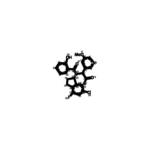 COc1cncc(C(C(N)=O)N(C(=O)c2ccccc2O)[C@@H]2CCc3c(F)cc(Cl)cc32)c1